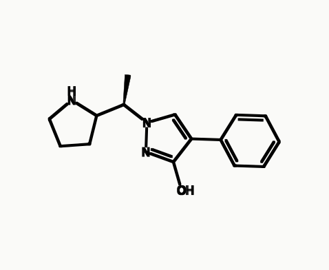 C[C@H](C1CCCN1)n1cc(-c2ccccc2)c(O)n1